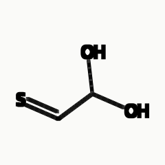 OC(O)C=S